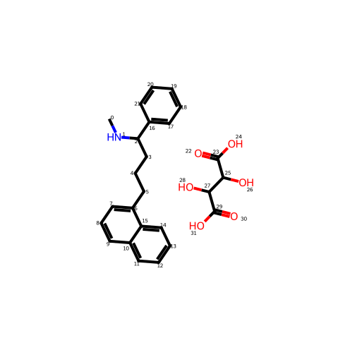 CNC(CCCc1cccc2ccccc12)c1ccccc1.O=C(O)C(O)C(O)C(=O)O